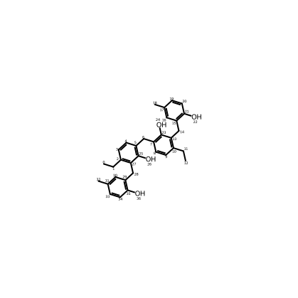 CCc1ccc(Cc2ccc(CC)c(Cc3cc(C)ccc3O)c2O)c(O)c1Cc1cc(C)ccc1O